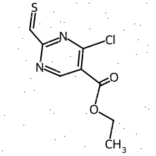 CCOC(=O)c1cnc(C=S)nc1Cl